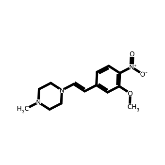 COc1cc(C=CN2CCN(C)CC2)ccc1[N+](=O)[O-]